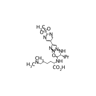 CC(C)[C@H](Nn1cc(-c2cnc(S(C)(=O)=O)nc2)nn1)C(=O)N[C@@H](CCCCN(C)C)C(=O)O